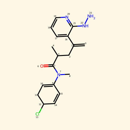 C=C(CC(C)C(=O)N(C)C1=CCC(Cl)C=C1)c1cccnc1NN